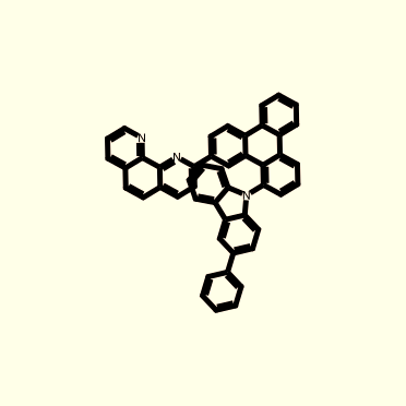 c1ccc(-c2ccc3c(c2)c2ccccc2n3-c2cccc3c4ccccc4c4ccc(-c5ccc6ccc7cccnc7c6n5)cc4c23)cc1